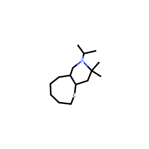 CC(C)N1CC2CCCCCCC2CC1(C)C